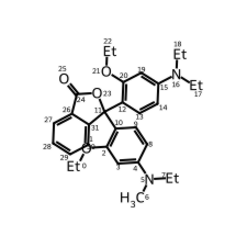 CCOc1cc(N(C)CC)ccc1C1(c2ccc(N(CC)CC)cc2OCC)OC(=O)c2ccccc21